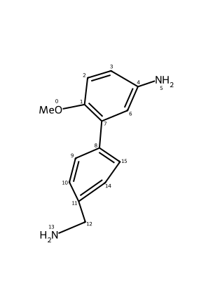 COc1ccc(N)cc1-c1ccc(CN)cc1